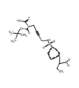 CCC(c1ccc(S(=O)(=O)NCC#CCN(C(=O)O)C(=O)OC(C)(C)C)cc1)[N+](=O)[O-]